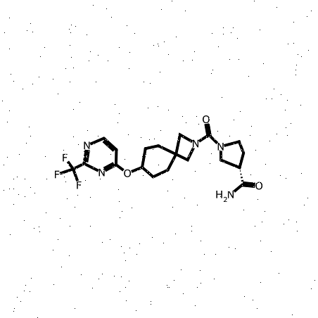 NC(=O)[C@H]1CCN(C(=O)N2CC3(CCC(Oc4ccnc(C(F)(F)F)n4)CC3)C2)C1